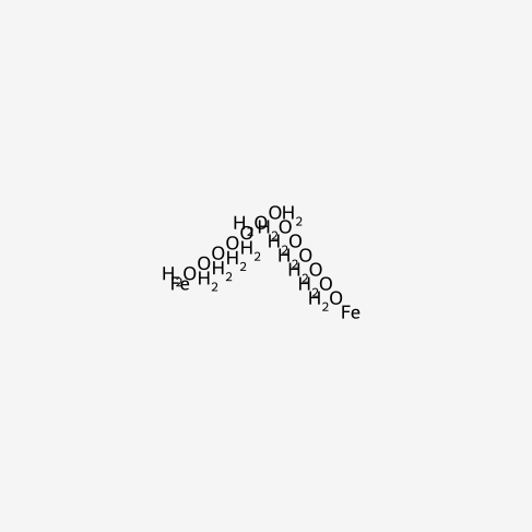 O.O.O.O.O.O.O.O.O.O.O.O.O.[Fe].[Fe]